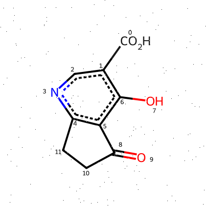 O=C(O)c1cnc2c(c1O)C(=O)CC2